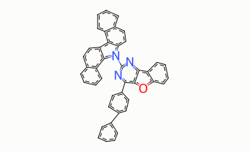 c1ccc(-c2ccc(-c3nc(-n4c5ccc6ccccc6c5c5ccc6ccccc6c54)nc4c3oc3ccccc34)cc2)cc1